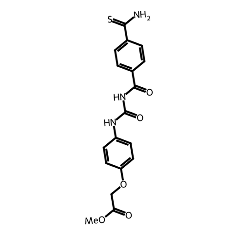 COC(=O)COc1ccc(NC(=O)NC(=O)c2ccc(C(N)=S)cc2)cc1